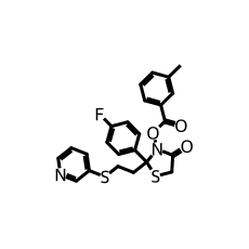 Cc1cccc(C(=O)ON2C(=O)CSC2(CCSc2cccnc2)c2ccc(F)cc2)c1